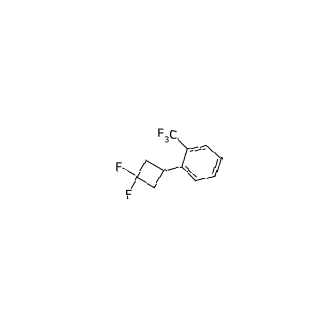 FC1(F)C[C](c2ccccc2C(F)(F)F)C1